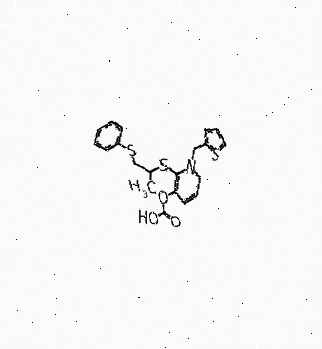 CC(CSc1ccccc1)SC1=C(OC(=O)O)C=CCN1Cc1cccs1